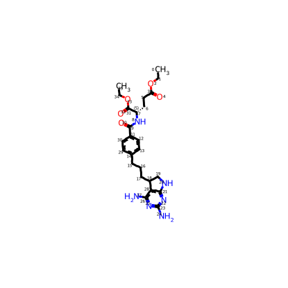 CCOC(=O)CC[C@H](NC(=O)c1ccc(CCCC2CNc3nc(N)nc(N)c32)cc1)C(=O)OCC